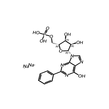 O=P(O)(O)OC[C@H]1O[C@@H](n2cnc3c(O)nc(-c4ccccc4)nc32)[C@H](O)[C@@H]1O.[Na].[Na]